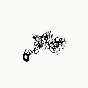 CC(C)(C)[C@H](NC(=O)OC(C)(C)C(F)(F)F)C(=O)C1C[C@H]2[C@@H]([C@H]1C(=O)NC(CC1CC1)C(=O)C(=O)NCC(=O)NCc1ccccc1)C2(C)C